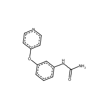 NC(=O)Nc1cccc(Oc2ccncc2)c1